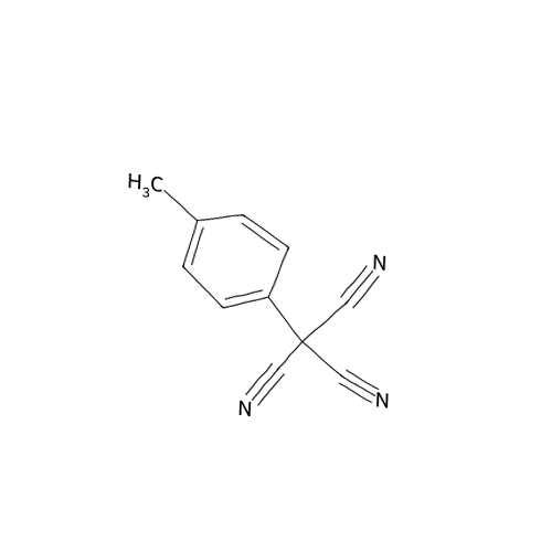 Cc1ccc(C(C#N)(C#N)C#N)cc1